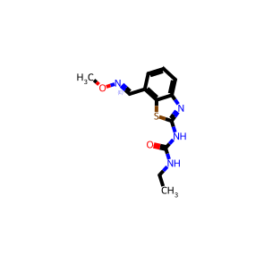 CCNC(=O)Nc1nc2c[c]cc(/C=N/OC)c2s1